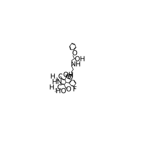 CC1=C(C(=O)O)C(c2cc(F)ccc2OCCCCNCC(O)COc2ccccc2)C(C(=O)O)=C(C)N1